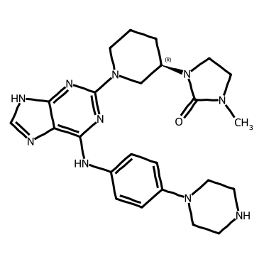 CN1CCN([C@@H]2CCCN(c3nc(Nc4ccc(N5CCNCC5)cc4)c4nc[nH]c4n3)C2)C1=O